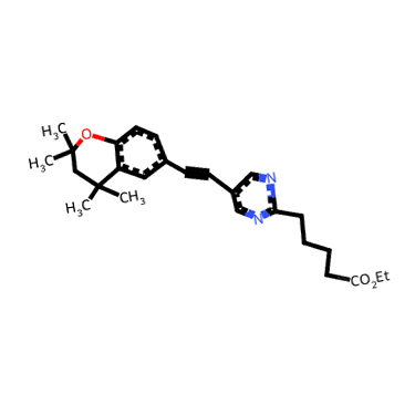 CCOC(=O)CCCCc1ncc(C#Cc2ccc3c(c2)C(C)(C)CC(C)(C)O3)cn1